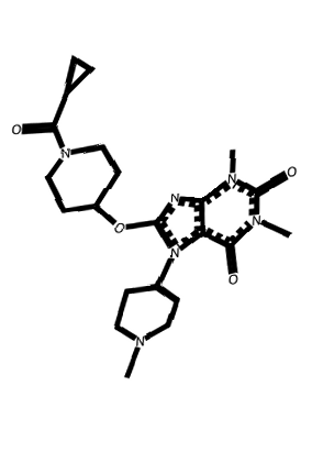 CN1CCC(n2c(OC3CCN(C(=O)C4CC4)CC3)nc3c2c(=O)n(C)c(=O)n3C)CC1